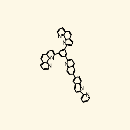 c1ccc(-c2ccc3cc(-c4ccc5nc(-c6cc(-c7ccc8ccc9cccnc9c8n7)cc(-c7ccc8ccc9cccnc9c8n7)c6)ccc5c4)ccc3n2)nc1